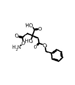 NOC(=O)CC(O)(CC(=O)OCc1ccccc1)C(=O)O